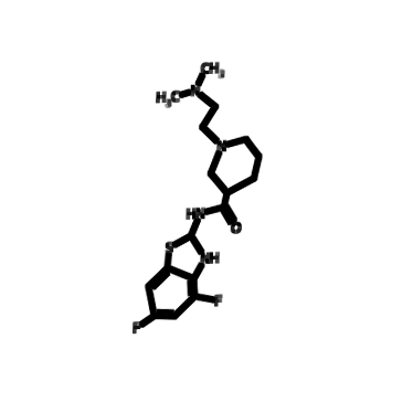 CN(C)CCN1CCCC(C(=O)NC2Nc3c(F)cc(F)cc3S2)C1